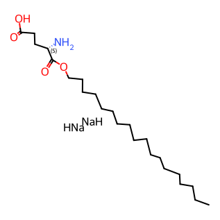 CCCCCCCCCCCCCCCCCCOC(=O)[C@@H](N)CCC(=O)O.[NaH].[NaH]